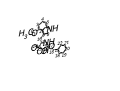 COc1cccc2[nH]cc(C[C@H](NC(=O)OCc3ccccc3)C(=O)O)c12